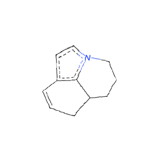 C1=Cc2ccn3c2C(C1)CCC3